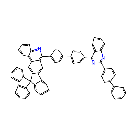 c1ccc(-c2ccc(-c3nc(-c4ccc(-c5ccc(-c6nc7ccccc7c7cc8c(cc67)-c6ccccc6C8(c6ccccc6)c6ccccc6)cc5)cc4)c4ccccc4n3)cc2)cc1